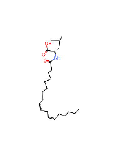 CCCCC/C=C\C/C=C\CCCCCCCC(=O)N[C@@H](CC(C)C)C(=O)O